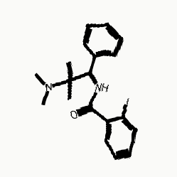 CN(C)C(C)(C)C(NC(=O)c1ccccc1I)c1ccccc1